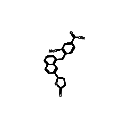 COC(=O)c1ccc(Cc2cccc3ccc(C4CCC(=O)O4)cc23)c(OC)c1